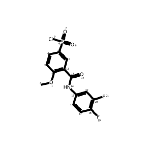 COc1ccc(S(=O)(=O)Cl)cc1C(=O)Nc1ccc(F)c(F)c1